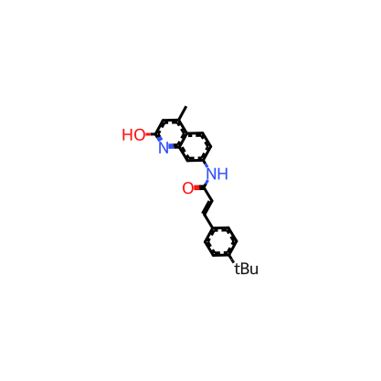 Cc1cc(O)nc2cc(NC(=O)/C=C/c3ccc(C(C)(C)C)cc3)ccc12